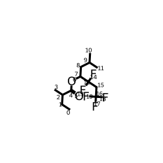 CCC(C)C(=O)OC(CC(C)C)C(F)(F)CC(F)(F)F